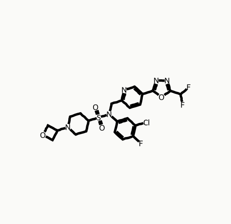 O=S(=O)(C1CCN(C2COC2)CC1)N(Cc1ccc(-c2nnc(C(F)F)o2)cn1)c1ccc(F)c(Cl)c1